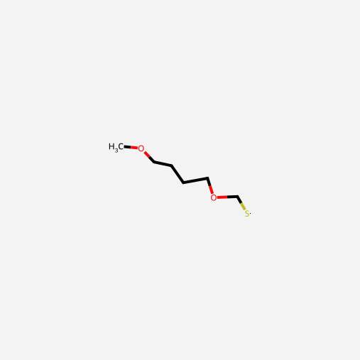 COCCCCOC[S]